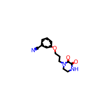 N#Cc1cccc(OCCCN2CCNC(=O)C2=O)c1